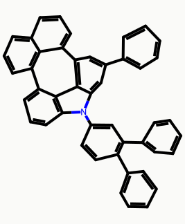 c1ccc(-c2cc3c4c5c(cccc5n(-c5ccc(-c6ccccc6)c(-c6ccccc6)c5)c4c2)-c2cccc4cccc-3c24)cc1